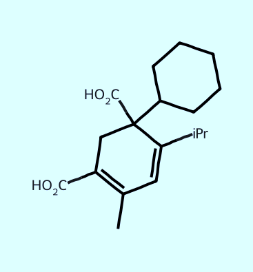 CC1=C(C(=O)O)CC(C(=O)O)(C2CCCCC2)C(C(C)C)=C1